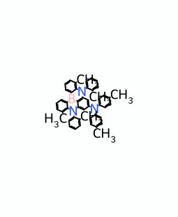 Cc1ccc(N(c2ccc(C)cc2)c2cc3c4c(c2)N(c2ccccc2C)c2c(C)cccc2B4c2cccc(C)c2N3c2ccccc2C)cc1